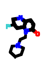 O=c1ccc2ncc(F)cc2n1CCN1CC[CH]CC1